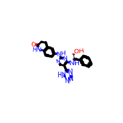 O=C1CCc2cc(Nc3ncc(-c4nnn[nH]4)c(N[C@H](CO)c4ccccc4)n3)ccc2N1